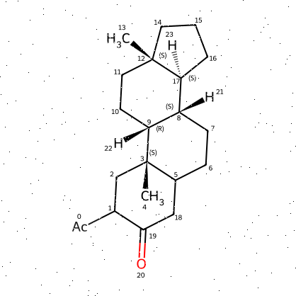 CC(=O)C1C[C@@]2(C)C(CC[C@@H]3[C@H]2CC[C@]2(C)CCC[C@@H]32)CC1=O